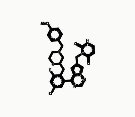 COc1ccc(CN2CCOC(Cc3c(F)cc(Cl)cc3-c3ncnn4cc(Cn5c(=O)cc[nH]c5=O)cc34)C2)cc1